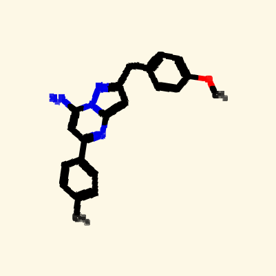 COc1ccc(Cc2cc3nc(-c4ccc(C)cc4)cc(N)n3n2)cc1